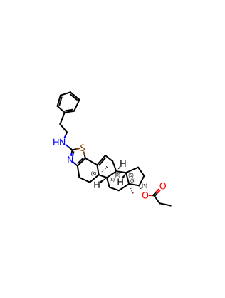 CCC(=O)O[C@H]1CC[C@H]2[C@@H]3CC=C4c5sc(NCCc6ccccc6)nc5CC[C@]4(C)[C@H]3CC[C@]12C